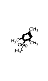 Cc1cc(C)c(S(C)(=O)=O)c(C)c1